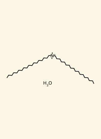 CCCCCCCCCCCCCCCCCC[N+](C)(C)CCCCCCCCCCCCCCCCCC.O